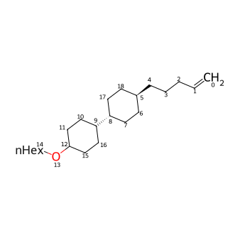 C=CCCC[C@H]1CC[C@H](C2CCC(OCCCCCC)CC2)CC1